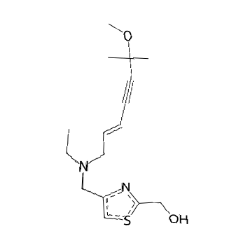 CCN(CC=CC#CC(C)(C)OC)Cc1csc(CO)n1